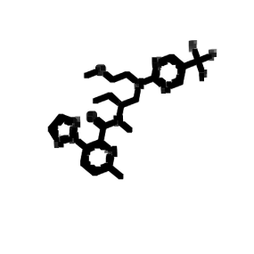 CC[C@@H](CN(CCOC)c1ncc(C(F)(F)F)cn1)N(C)C(=O)c1nc(C)ccc1-n1nccn1